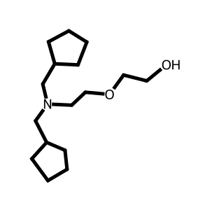 OCCOCCN(CC1CCCC1)CC1CCCC1